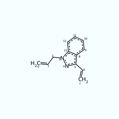 C=CCn1nc(C=C)c2ccccc21